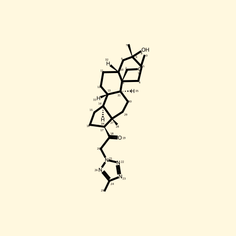 COC[C@]12CC[C@@](C)(O)C[C@H]1CC[C@H]1[C@@H]3CC[C@H](C(=O)Cn4nnc(C)n4)[C@@]3(C)CC[C@@H]12